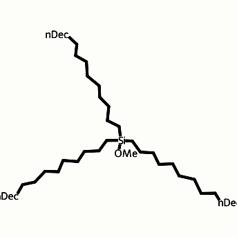 CCCCCCCCCCCCCCCCCCC[Si](CCCCCCCCCCCCCCCCCCC)(CCCCCCCCCCCCCCCCCCC)OC